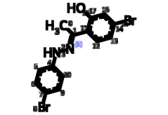 C/C(=N\Nc1ccc(Br)cc1)c1ccc(Br)cc1O